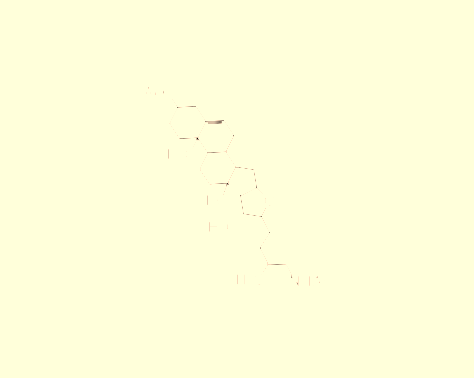 CC(=O)NCC(C)CCC1OC2CC3C4CC=C5CC(OC(C)=O)CCC5(C)C4CCC3(C)C2C1C